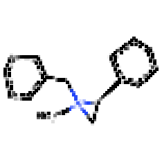 O=C(O)[N@+]1(Cc2ccccc2)C[C@@H]1c1ccccc1